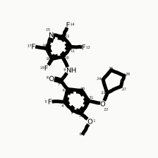 COc1cc(F)c(C(=O)Nc2c(F)c(F)nc(F)c2F)cc1OC1CCCC1